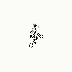 C[C@@]12OC3(CCCC3)O[C@@H]1[C@@](CF)(COC(=O)c1ccccc1)O[C@H]2n1ccc(N)nc1=O